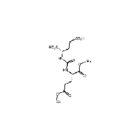 CC(C)(C)OC(=O)CC[C@H](NC(=O)N[C@@H](CCC(=O)O)C(=O)O)C(=O)OC(C)(C)C